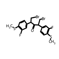 CSc1ccc(C(CBr)C(=O)C(CBr)c2ccc(SC)c(F)c2)cc1F